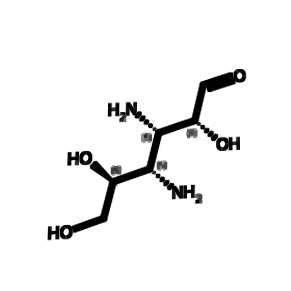 N[C@@H]([C@H](N)[C@@H](O)C=O)[C@H](O)CO